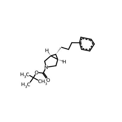 CC(C)(C)OC(=O)N1C[C@@H]2[C@@H](CCCc3ccccc3)[C@@H]2C1